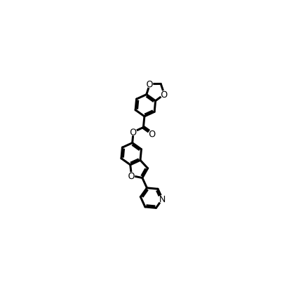 O=C(Oc1ccc2oc(-c3cccnc3)cc2c1)c1ccc2c(c1)OCO2